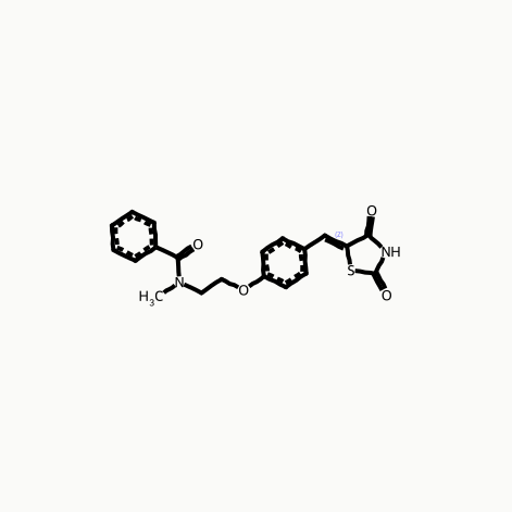 CN(CCOc1ccc(/C=C2\SC(=O)NC2=O)cc1)C(=O)c1ccccc1